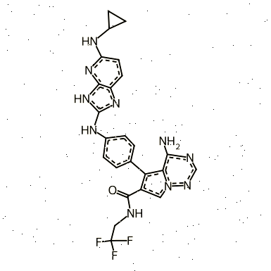 Nc1ncnn2cc(C(=O)NCC(F)(F)F)c(-c3ccc(Nc4nc5ccc(NC6CC6)nc5[nH]4)cc3)c12